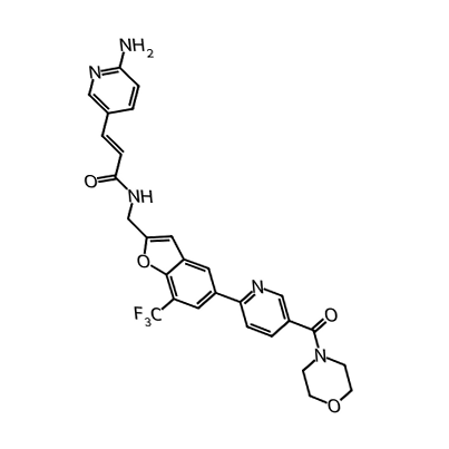 Nc1ccc(C=CC(=O)NCc2cc3cc(-c4ccc(C(=O)N5CCOCC5)cn4)cc(C(F)(F)F)c3o2)cn1